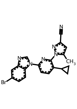 Cc1cc(C#N)nn1-c1nc(-n2cnc3cc(Br)ccc32)ccc1C1CC1